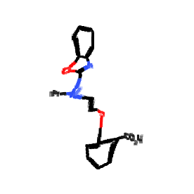 CCCN(CCOc1ccccc1C(=O)O)c1nc2ccccc2o1